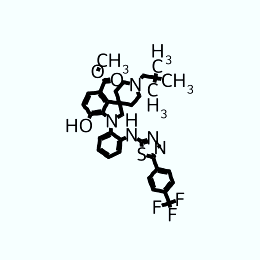 COC(=O)c1ccc(O)c2c1C1(CCN(CC(C)(C)C)CC1)CN2c1ccccc1Nc1nnc(-c2ccc(C(F)(F)F)cc2)s1